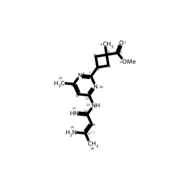 COC(=O)C1(C)CC(c2nc(C)cc(NC(=N)/C=C(/C)N)n2)C1